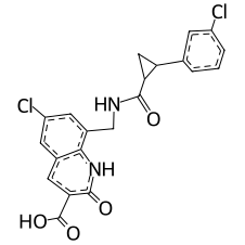 O=C(O)c1cc2cc(Cl)cc(CNC(=O)C3CC3c3cccc(Cl)c3)c2[nH]c1=O